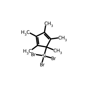 CC1=C(C)C(C)([Si](Br)(Br)Br)C(C)=C1C